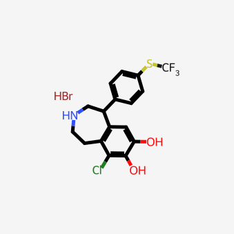 Br.Oc1cc2c(c(Cl)c1O)CCNCC2c1ccc(SC(F)(F)F)cc1